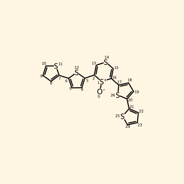 [O-][S+]1C(c2ccc(-c3cccs3)s2)=CSC=C1c1ccc(-c2cccs2)s1